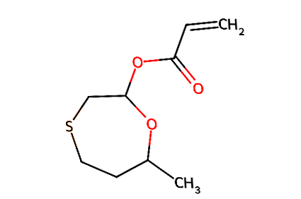 C=CC(=O)OC1CSCCC(C)O1